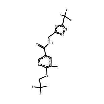 O=C(NCc1nc(C(F)(F)F)no1)c1cnc(OCC(F)(F)F)c(I)c1